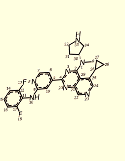 CN(c1nc(-c2ccnc(Nc3c(F)cccc3F)c2)nc2cncc(C3CC3)c12)[C@@H]1CCNC1